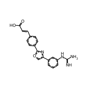 N=C(N)Nc1cccc(-c2coc(-c3ccc(/C=C/C(=O)O)cc3)n2)c1